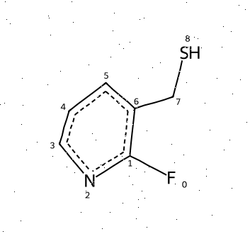 Fc1ncccc1CS